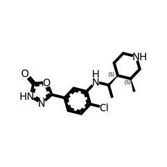 CC(Nc1cc(-c2n[nH]c(=O)o2)ccc1Cl)[C@H]1CCNC[C@H]1C